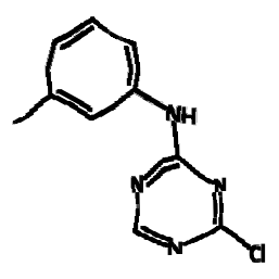 Cc1cccc(Nc2ncnc(Cl)n2)c1